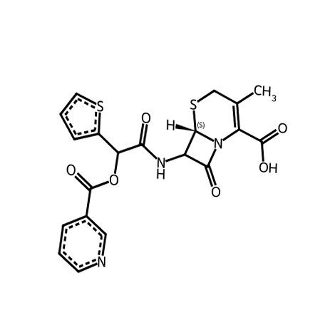 CC1=C(C(=O)O)N2C(=O)C(NC(=O)C(OC(=O)c3cccnc3)c3cccs3)[C@@H]2SC1